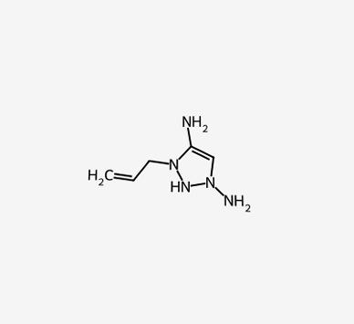 C=CCN1NN(N)C=C1N